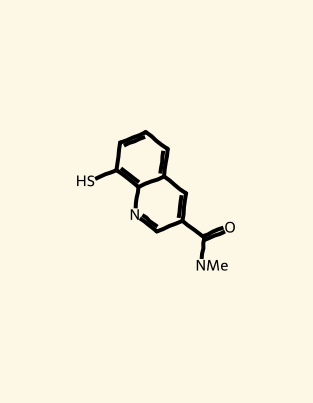 CNC(=O)c1cnc2c(S)cccc2c1